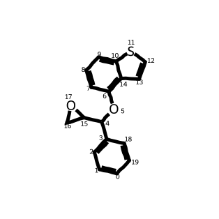 c1ccc(C(Oc2cccc3sccc23)C2CO2)cc1